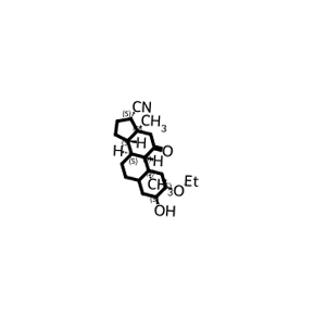 CCO[C@H]1C[C@@]2(C)C(CC[C@H]3[C@@H]4CC[C@H](C#N)[C@@]4(C)CC(=O)[C@@H]32)C[C@@H]1O